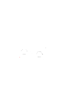 COc1cc(C)cc(CCc2cc(C)cc(O)c2)c1